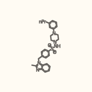 CCCc1cccc(N2CCN(NS(=O)(=O)c3ccc(Cn4c(C)nc5ccccc54)cc3)CC2)c1